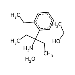 CCO.CCc1ccccc1C(N)(CC)CC.O